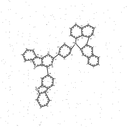 c1ccc2cc3c(cc2c1)-c1cccc2cccc(c12)N3c1ccc(-c2nc(-c3ccc4c(c3)oc3ccccc34)c3oc4ccccc4c3n2)cc1